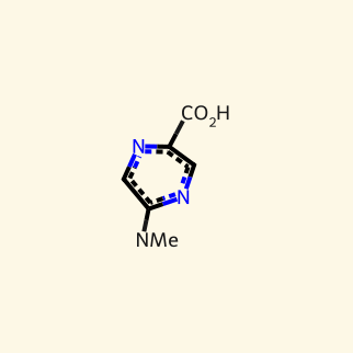 CNc1cnc(C(=O)O)cn1